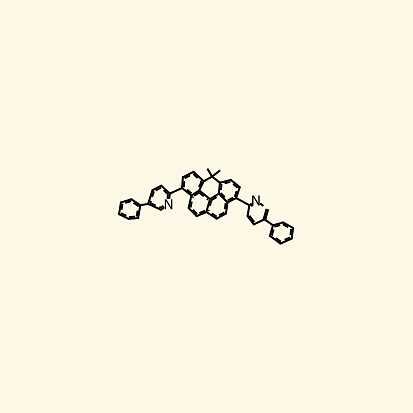 C=C(/C=C\C(=N/C)c1ccc2c3c1ccc1ccc4c(-c5ccc(-c6ccccc6)cn5)ccc(c4c13)C2(C)C)c1ccccc1